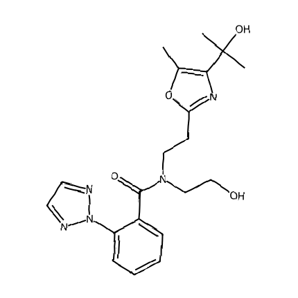 Cc1oc(CCN(CCO)C(=O)c2ccccc2-n2nccn2)nc1C(C)(C)O